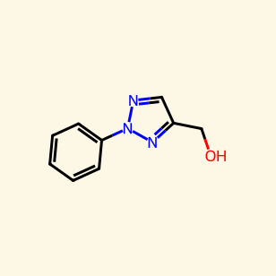 OCc1cnn(-c2ccccc2)n1